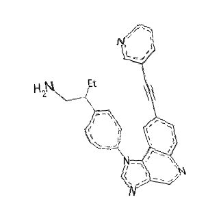 CCC(CN)c1ccc(-n2cnc3cnc4ccc(C#Cc5cccnc5)cc4c32)cc1